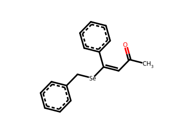 CC(=O)C=C([Se]Cc1ccccc1)c1ccccc1